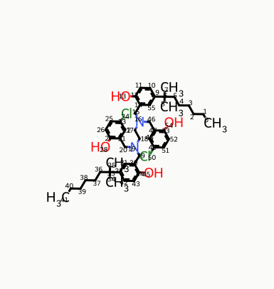 CCCCCCC(C)(C)c1ccc(O)c(CN(CCN(Cc2cc(Cl)ccc2O)Cc2cc(C(C)(C)CCCCCC)ccc2O)Cc2cc(Cl)ccc2O)c1